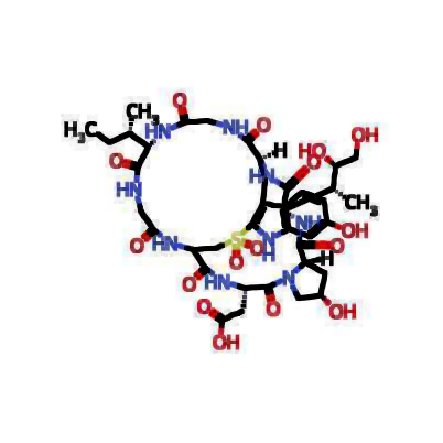 CC[C@H](C)[C@@H]1NC(=O)CNC(=O)[C@@H]2Cc3c([nH]c4cc(O)ccc34)S(=O)(=O)CC(NC(=O)CNC1=O)C(=O)N[C@@H](CC(=O)O)C(=O)N1C[C@H](O)C[C@H]1C(=O)N[C@@H]([C@@H](C)[C@@H](O)CO)C(=O)N2